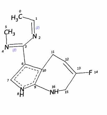 C/C=N\C(=N/C)c1c[nH]c2c1CC=C(F)CN2